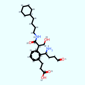 NC(CCC=O)c1c(CCC(=O)O)cccc1C(CO)C(=O)NCCCCC1CCCCC1